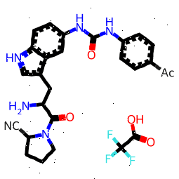 CC(=O)c1ccc(NC(=O)Nc2ccc3[nH]cc(CC(N)C(=O)N4CCCC4C#N)c3c2)cc1.O=C(O)C(F)(F)F